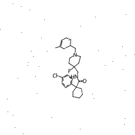 CC1=CCCC(CN2CCC(F)(CNC(=O)C3(c4ccc(Cl)cc4)CCCCC3)CC2)C1